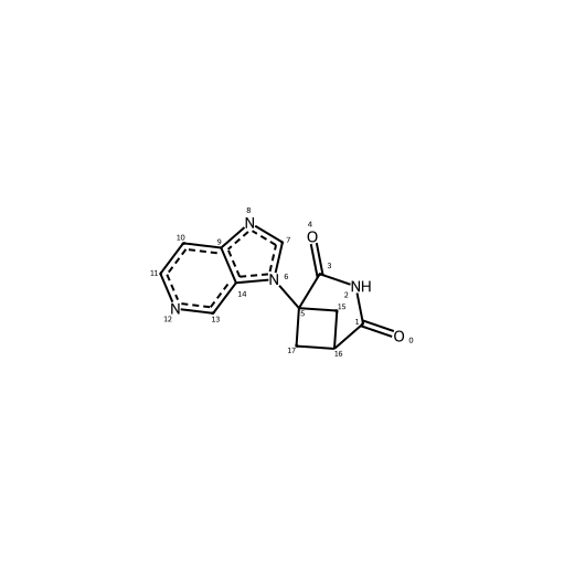 O=C1NC(=O)C2(n3cnc4ccncc43)CC1C2